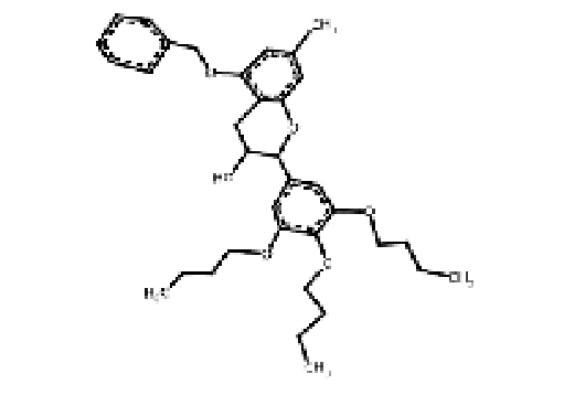 CCCCOc1cc(C2Oc3cc(C)cc(OCc4ccccc4)c3CC2O)cc(OCCCC)c1OCCCC